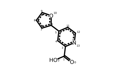 O=C(O)c1cc(-c2ccco2)ccn1